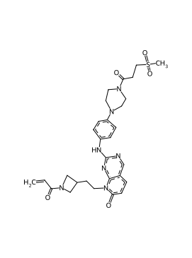 C=CC(=O)N1CC(CCn2c(=O)ccc3cnc(Nc4ccc(N5CCN(C(=O)CCS(C)(=O)=O)CC5)cc4)nc32)C1